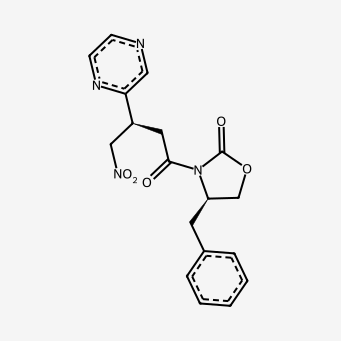 O=C(C[C@@H](C[N+](=O)[O-])c1cnccn1)N1C(=O)OC[C@H]1Cc1ccccc1